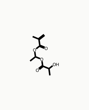 C=C(C)C(=O)OC(C)OC(=O)C(C)O